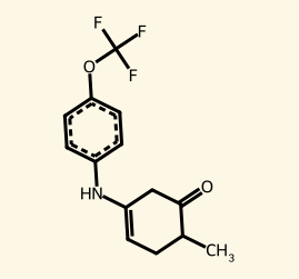 CC1CC=C(Nc2ccc(OC(F)(F)F)cc2)CC1=O